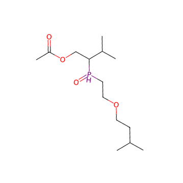 CC(=O)OCC(C(C)C)[PH](=O)CCOCCC(C)C